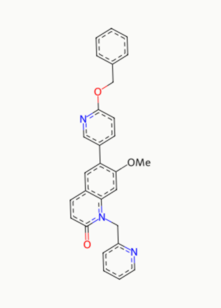 COc1cc2c(ccc(=O)n2Cc2ccccn2)cc1-c1ccc(OCc2ccccc2)nc1